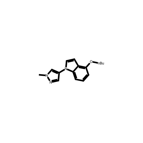 CCCCOc1cccc2c1ccn2-c1cnn(C)c1